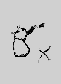 F[B-](F)(F)F.[N-]=[N+]=c1[nH][nH]c2ccccc12